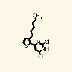 CCCCCCc1ccsc1C1=CC(Cl)NC(Cl)=N1